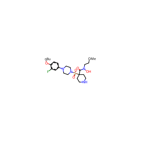 CCCCOc1ccc(N2CCN(S(=O)(=O)C3(C(=O)N(O)CCOC)CCNCC3)CC2)cc1F